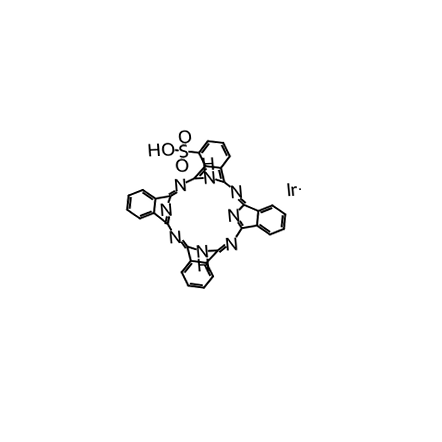 O=S(=O)(O)c1cccc2c3nc4nc(nc5[nH]c(nc6nc(nc([nH]3)c12)-c1ccccc1-6)c1ccccc51)-c1ccccc1-4.[Ir]